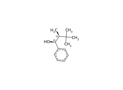 C[C@H]([C@H](O)c1ccccc1)C(C)(C)C